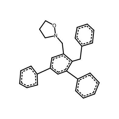 c1ccc(Cc2c(CN3CCCO3)cc(-c3ccccc3)cc2-c2ccccc2)cc1